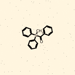 C[Si](C(=O)c1ccccc1)(c1ccccc1)c1ccccc1